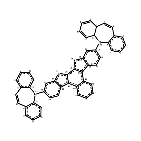 C1=CC2C=Cc3ccccc3N(c3ccc4c(c3)sc3c5sc6cc(N7c8ccccc8C=Cc8ccccc87)ccc6c5c5ccccc5c43)C2C=C1